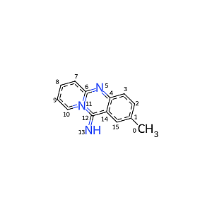 Cc1ccc2nc3ccccn3c(=N)c2c1